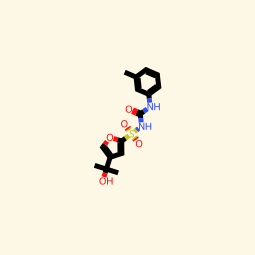 Cc1cccc(NC(=O)NS(=O)(=O)c2cc(C(C)(C)O)co2)c1